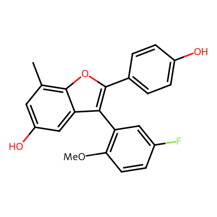 COc1ccc(F)cc1-c1c(-c2ccc(O)cc2)oc2c(C)cc(O)cc12